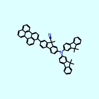 CC1(C)c2ccccc2-c2ccc(N(c3ccc4c(c3)C(C)(C)c3ccccc3-4)c3ccc4c(c3)C(C)(C#N)c3cc(-c5ccc6c7cccc8cccc(c9cccc5c96)c87)ccc3-4)cc21